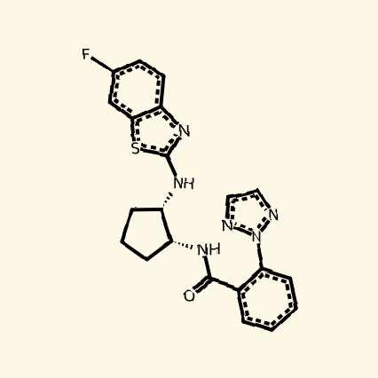 O=C(N[C@@H]1CCC[C@@H]1Nc1nc2ccc(F)cc2s1)c1ccccc1-n1nccn1